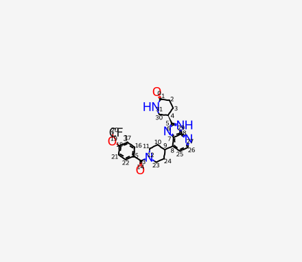 O=C1CC[C@@H](c2nc3c(C4CCN(C(=O)c5ccc(OC(F)(F)F)cc5)CC4)ccnc3[nH]2)CN1